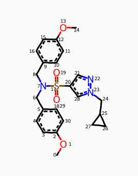 COc1ccc(CN(Cc2ccc(OC)cc2)S(=O)(=O)c2cnn(CC3CC3)c2)cc1